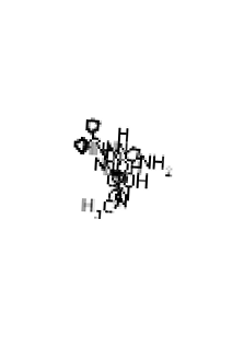 CCc1nnc([C@H]2O[C@@H](n3cnc4c(NCC(c5ccccc5)c5ccccc5)nc(NC5CCC(N)CC5)nc43)[C@H](O)[C@@H]2O)o1